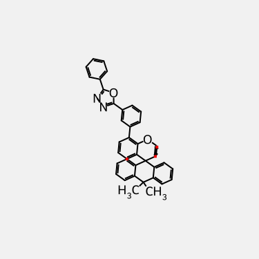 CC1(C)c2ccccc2C2(c3ccccc3Oc3c(-c4cccc(-c5nnc(-c6ccccc6)o5)c4)cccc32)c2ccccc21